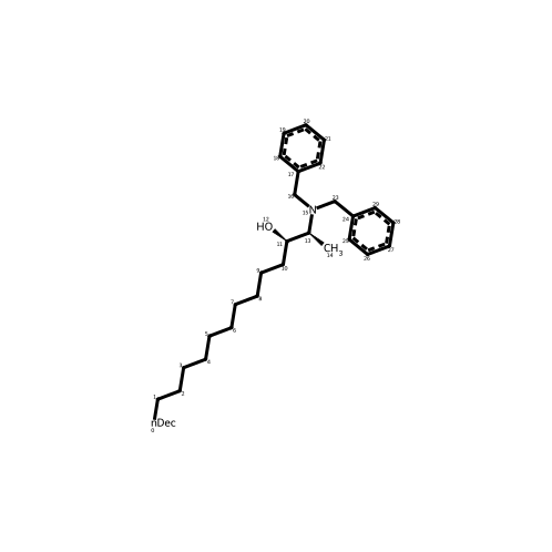 CCCCCCCCCCCCCCCCCCCC[C@@H](O)[C@H](C)N(Cc1ccccc1)Cc1ccccc1